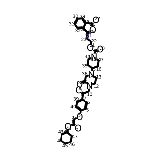 O=C(COc1ccc(C(=O)CN2CCN(C3CCN(C(=O)OC/C=C4\OC(=O)c5ccccc54)CC3)CC2=O)cc1)OC1CCCCC1